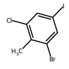 Cc1c(Cl)cc(I)cc1Br